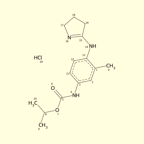 Cc1cc(NC(=O)OC(C)C)ccc1NC1=NCCC1.Cl